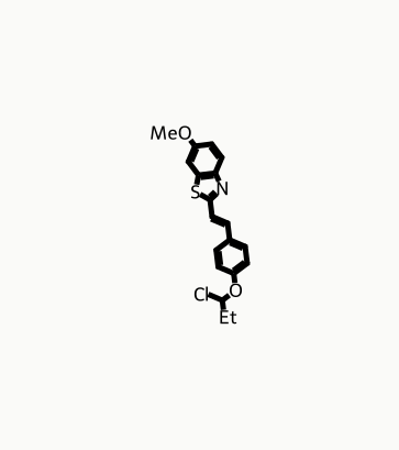 CCC(Cl)Oc1ccc(/C=C/c2nc3ccc(OC)cc3s2)cc1